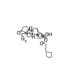 C[C@]12CC[C@](O)(OC(=O)CCC3CCCC3)CC1=CC[C@@H]1[C@@H]2CC[C@]2(C)C(=O)CC[C@@H]12